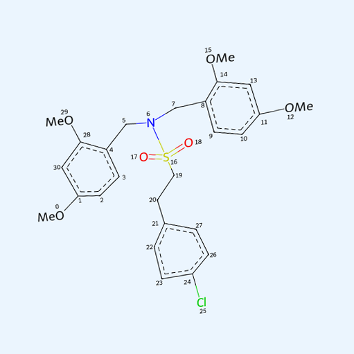 COc1ccc(CN(Cc2ccc(OC)cc2OC)S(=O)(=O)CCc2ccc(Cl)cc2)c(OC)c1